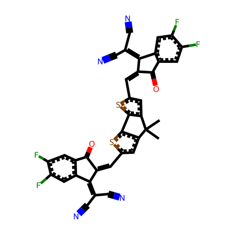 CC1(C)c2cc(/C=C3\C(=O)c4cc(F)c(F)cc4C3=C(C#N)C#N)sc2-c2sc(/C=C3\C(=O)c4cc(F)c(F)cc4C3=C(C#N)C#N)cc21